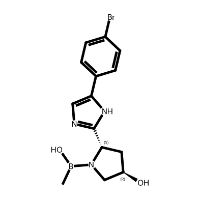 CB(O)N1C[C@H](O)C[C@H]1c1ncc(-c2ccc(Br)cc2)[nH]1